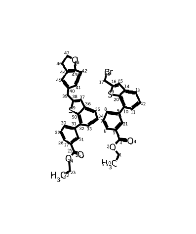 CCOC(=O)c1cccc(-c2cccc3cc(CBr)sc23)c1.CCOC(=O)c1cccc(-c2cccc3cc(Cc4ccc5c(c4)CCO5)sc23)c1